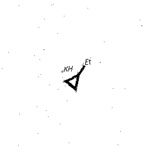 CCC1CC1.[KH]